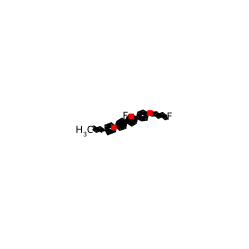 CCCCC[C@H]1CC[C@H](c2ccc(-c3ccc([C@H]4CC[C@H](CCCCCCF)CC4)cc3F)cc2)CC1